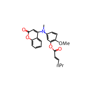 CCCC=CC(=O)Oc1cc(N(C)c2cc(=O)oc3ccccc23)ccc1OC